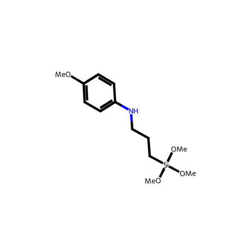 COc1ccc(NCCC[Si](OC)(OC)OC)cc1